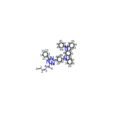 C=C/C=C\C=C(/C)c1nc(-c2ccccc2)nc(-c2ccc(-n3c4ccccc4c4cc5c6ccccc6n(-c6ccccc6)c5cc43)cc2)n1